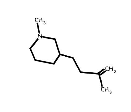 C=C(C)CCC1CCCN(C)C1